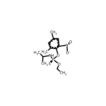 CCOP(=S)(NC(C)C)Oc1c(C)cc(C)cc1[N+](=O)[O-]